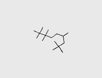 CC(CCC(C)(C)C(C)(C)C)CC(C)(C)C